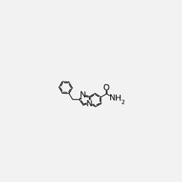 NC(=O)c1ccn2cc(Cc3ccccc3)nc2c1